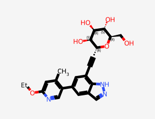 CCOc1cc(C)c(-c2cc(C#C[C@H]3O[C@H](CO)[C@@H](O)[C@H](O)[C@@H]3O)c3[nH]ncc3c2)cn1